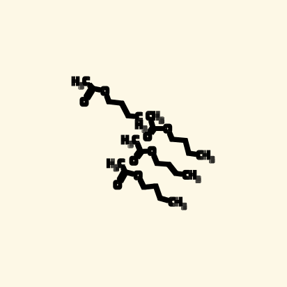 CCCCOC(C)=O.CCCCOC(C)=O.CCCCOC(C)=O.CCCCOC(C)=O